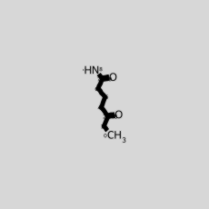 CCC(=O)CCCC([NH])=O